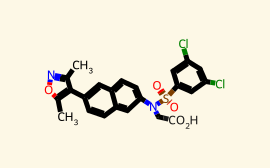 Cc1noc(C)c1-c1ccc2cc(N(CC(=O)O)S(=O)(=O)c3cc(Cl)cc(Cl)c3)ccc2c1